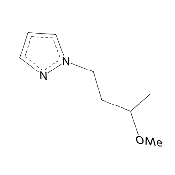 COC(C)CCn1cccn1